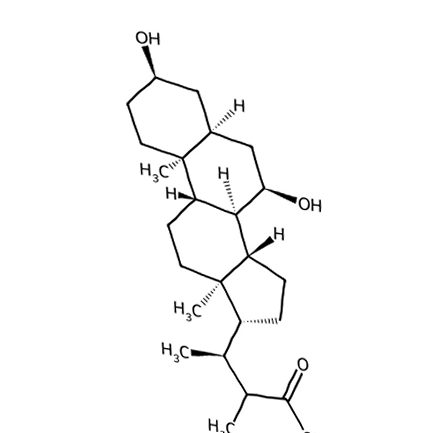 CC(C(=O)O)[C@@H](C)[C@H]1CC[C@H]2[C@@H]3[C@H](O)C[C@@H]4C[C@H](O)CC[C@]4(C)[C@H]3CC[C@]12C